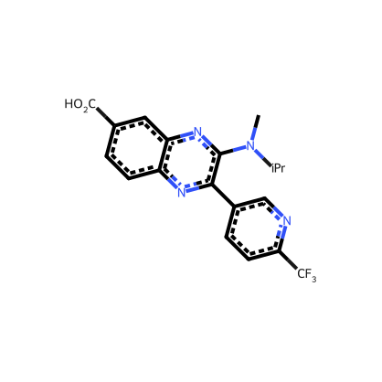 CC(C)N(C)c1nc2cc(C(=O)O)ccc2nc1-c1ccc(C(F)(F)F)nc1